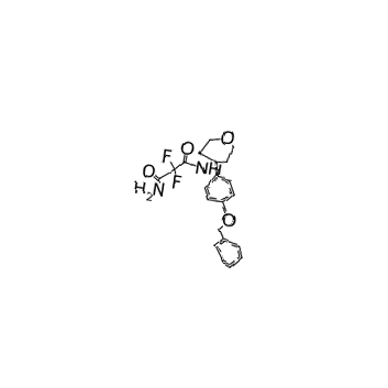 NC(=O)C(F)(F)C(=O)NC1(c2ccc(OCc3ccccc3)cc2)CCOCC1